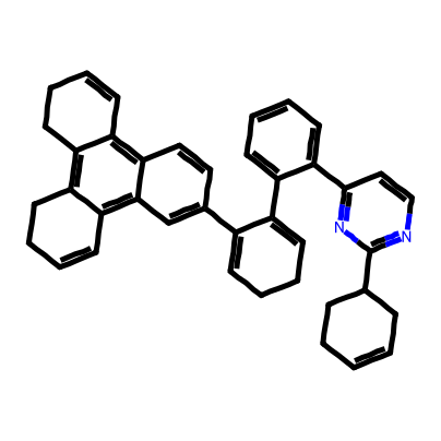 C1=Cc2c(c3c(c4cc(C5=CCCC=C5c5ccccc5-c5ccnc(C6CC=CCC6)n5)ccc24)C=CCC3)CC1